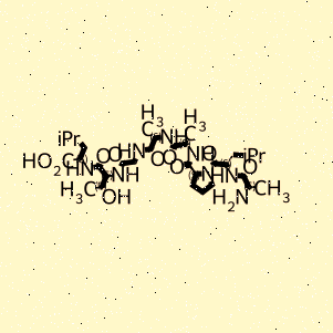 CC(C)C[C@H](NC(=O)[C@@H](NC(=O)CNC(=O)[C@H](C)NC(=O)[C@H](C)NC(=O)[C@@H]1CCCN1C(=O)[C@H](CC(C)C)NC(=O)[C@H](C)N)[C@@H](C)O)C(=O)O